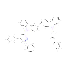 c1ccc(-c2ccc(-n3c4ccccc4c4ccc(-c5ccc6c(c5)c5ccccc5n6-c5cc(-c6ccccc6)cc(-c6ccccc6)n5)cc43)cc2)cc1